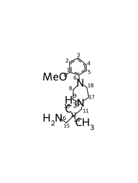 COc1ccccc1N1CCN(CC(C)(C)CN)CC1